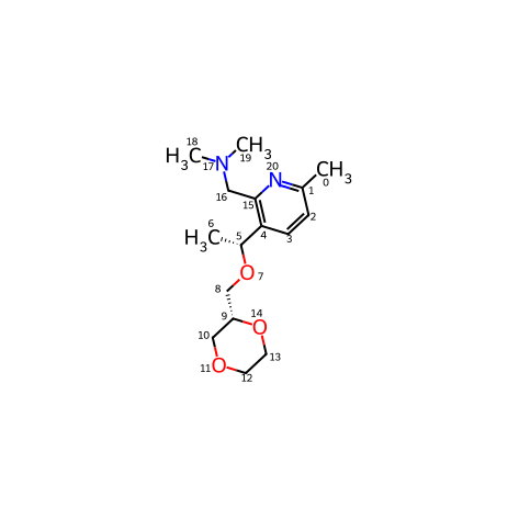 Cc1ccc([C@@H](C)OC[C@H]2COCCO2)c(CN(C)C)n1